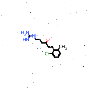 Cc1cccc(Cl)c1C=CC(=O)CCCNC(=N)N